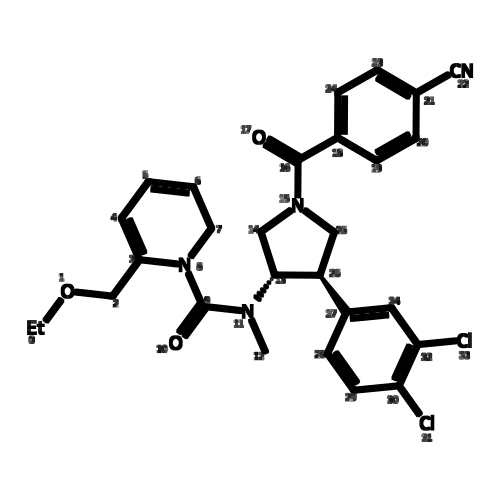 CCOCC1=CC=CCN1C(=O)N(C)[C@@H]1CN(C(=O)c2ccc(C#N)cc2)C[C@H]1c1ccc(Cl)c(Cl)c1